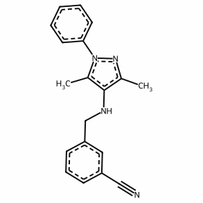 Cc1nn(-c2ccccc2)c(C)c1NCc1cccc(C#N)c1